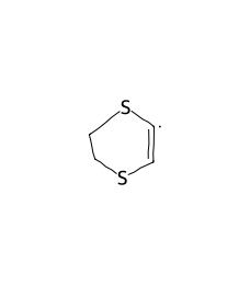 [C]1=CSCCS1